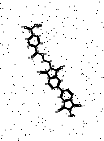 CCCN1C(=O)c2ccc(-c3ccc4c(c3)C(=O)N(CCOC(=O)c3ccc(C(=O)OC)cc3)C4=O)cc2C1=O